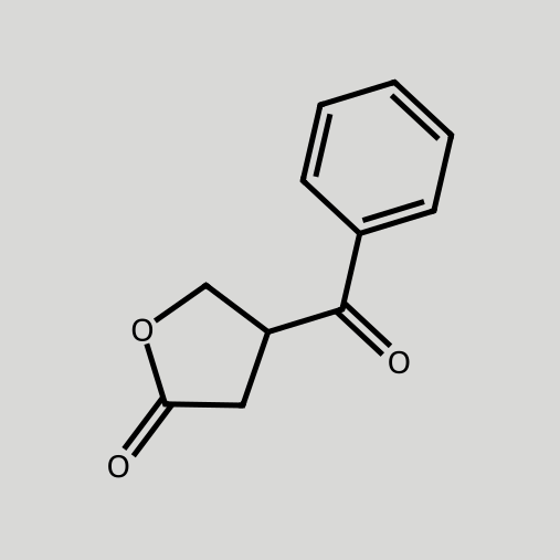 O=C1CC(C(=O)c2ccccc2)CO1